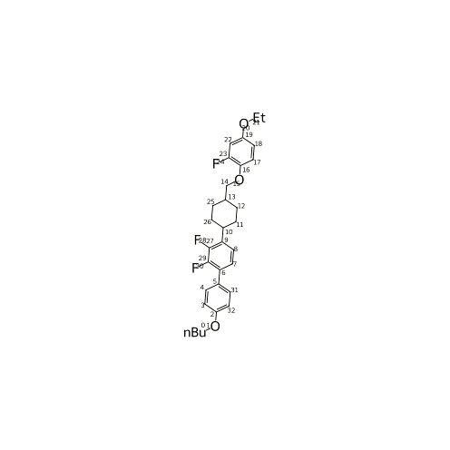 CCCCOc1ccc(-c2ccc(C3CCC(COc4ccc(OCC)cc4F)CC3)c(F)c2F)cc1